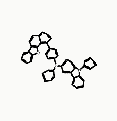 c1ccc(N(c2ccc(-c3cccc4ccc5c6ccccc6oc5c34)cc2)c2ccc3c(c2)c2ccccc2n3-c2ccccc2)cc1